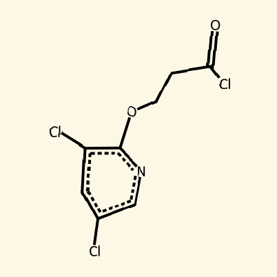 O=C(Cl)CCOc1ncc(Cl)cc1Cl